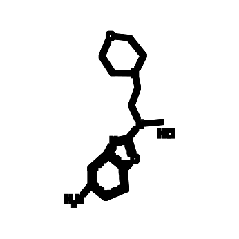 CN(CCN1CCOCC1)c1nc2cc(N)ccc2o1.Cl